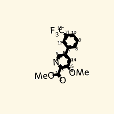 COC(=O)c1ncc(-c2cccc(C(F)(F)F)c2)cc1OC